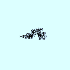 CC1(C)[C@H]2CC[C@]1(c1ccnc(-c3ccn(C[C@H](O)CO)n3)n1)c1nnc(-c3c(F)cccc3F)cc12